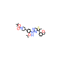 Cc1sc2cnc(Nc3ccc(C4CCN(C(=O)OC(C)(C)C)CC4)cc3OC(C)C)nc2c1-c1cccc2c1OCC2